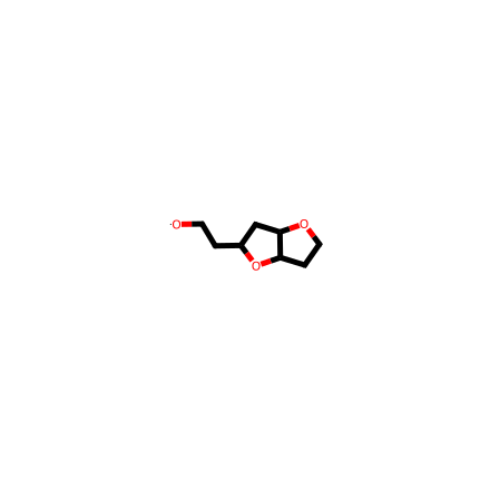 [O]CCC1CC2OCCC2O1